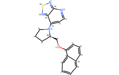 c1ccc2c(OC[C@H]3CCCN3c3ccnc4nsnc34)cccc2c1